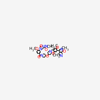 CNC(=O)CCN(C=O)c1cc(C(=O)N2CCC(OC3CCN(Cc4cc(OC)c(-c5cn(C)c(=O)c6cnccc56)cc4OC)CC3)CC2)ccc1OC